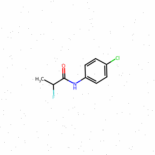 CC(F)C(=O)Nc1ccc(Cl)cc1